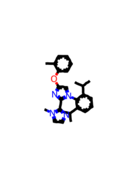 Cc1ccccc1Oc1cn(-c2c(C(C)C)cccc2C(C)C)c(-c2nccn2C)n1